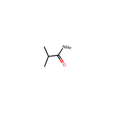 [CH2]C(C)C(=O)NC